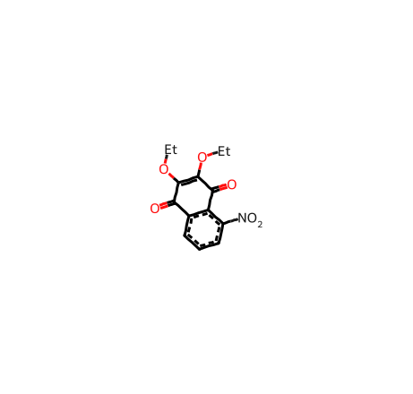 CCOC1=C(OCC)C(=O)c2c(cccc2[N+](=O)[O-])C1=O